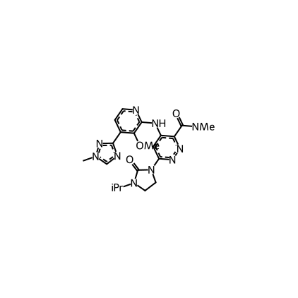 CNC(=O)c1nnc(N2CCN(C(C)C)C2=O)cc1Nc1nccc(-c2ncn(C)n2)c1OC